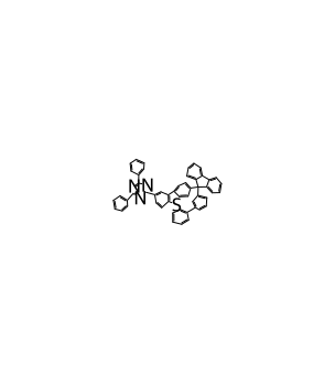 c1ccc(-c2cccc(C3(c4ccc5c(c4)sc4ccc(-c6nc(-c7ccccc7)nc(-c7ccccc7)n6)cc45)c4ccccc4-c4ccccc43)c2)cc1